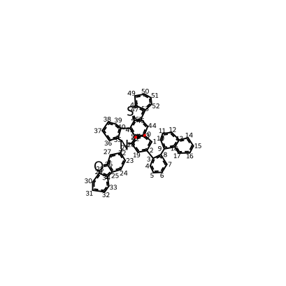 c1cc(-c2ccccc2-c2cccc3ccccc23)cc(N(c2ccc3c(c2)oc2ccccc23)c2ccccc2-c2cccc3c2sc2ccccc23)c1